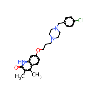 Cc1c(C)c2ccc(OCCCN3CCN(Cc4ccc(Cl)cc4)CC3)cc2[nH]c1=O